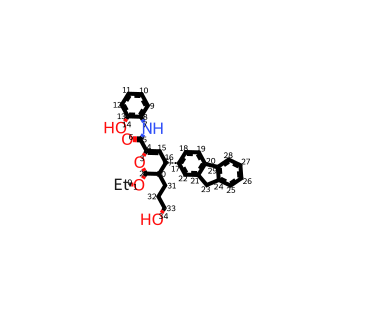 CCOC1OC(C(=O)Nc2ccccc2O)=C[C@H](c2ccc3c(c2)Cc2ccccc2-3)C1CCCO